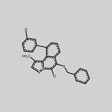 O=C(O)c1cnn2c(Cl)c(OCc3ccccc3)c3cccc(-c4cccc(Cl)c4)c3c12